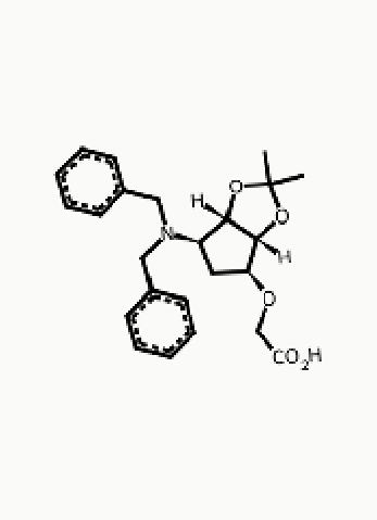 CC1(C)O[C@@H]2[C@H](O1)[C@@H](OCC(=O)O)C[C@H]2N(Cc1ccccc1)Cc1ccccc1